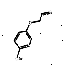 CC(=O)Oc1ccc(OC[C]=S)cc1